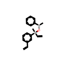 C=Cc1cccc([Si](C)(C=C)O[SiH](C)c2ccccc2)c1